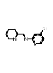 Sc1ccnc(NCC2CCCCN2)c1